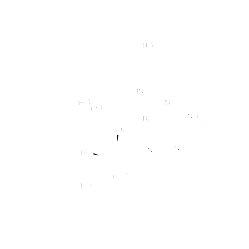 Cl.Cl.NCCNc1nc(N)c2ncn([C@@H]3O[C@H](CO)[C@@H](O)[C@H]3O)c2n1